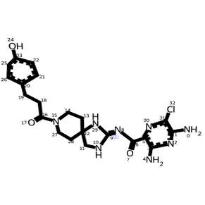 Nc1nc(N)c(C(=O)/N=C2\NCC3(CCN(C(=O)CCc4ccc(O)cc4)CC3)N2)nc1Cl